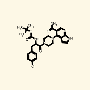 CC(C)(C)OC(=O)NC(Cc1ccc(Cl)cc1)C(=O)N1CCN(c2c(C(N)=O)cnc3[nH]ccc23)CC1